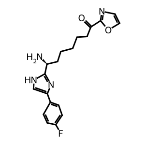 N[C@@H](CCCCCC(=O)c1ncco1)c1nc(-c2ccc(F)cc2)c[nH]1